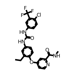 CCc1cc(NC(=O)Nc2ccc(Cl)c(C(F)(F)F)c2)ccc1Oc1ccnc(C(=O)NC)c1